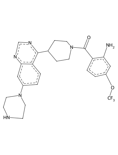 Nc1cc(OC(F)(F)F)ccc1C(=O)N1CCC(c2ncnc3cc(N4CCNCC4)ccc23)CC1